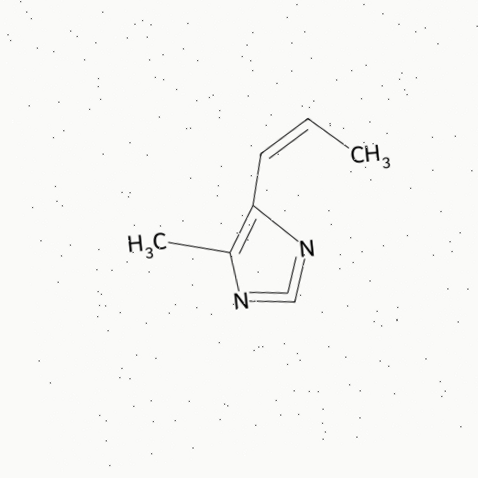 C/C=C\C1=C(C)N=C=N1